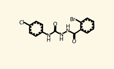 O=C(NNC(=O)c1ccccc1Br)Nc1ccc(Cl)cc1